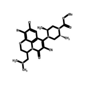 C[C@@H]1CN(c2c(C#N)c(=O)n3c4c(c(Br)c(Cl)cc24)OCC3CN(C)C)[C@@H](C)CN1C(=O)OC(C)(C)C